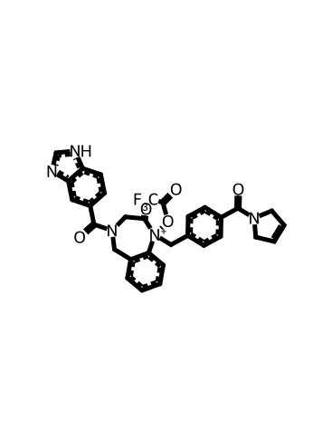 O=C(c1ccc(C[N+]2(OC(=O)C(F)(F)F)C(=O)CN(C(=O)c3ccc4[nH]cnc4c3)Cc3ccccc32)cc1)N1CC=CC1